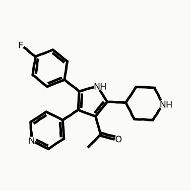 CC(=O)c1c(C2CCNCC2)[nH]c(-c2ccc(F)cc2)c1-c1ccncc1